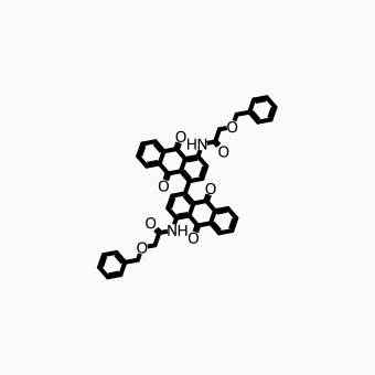 O=C(COCc1ccccc1)Nc1ccc(-c2ccc(NC(=O)COCc3ccccc3)c3c2C(=O)c2ccccc2C3=O)c2c1C(=O)c1ccccc1C2=O